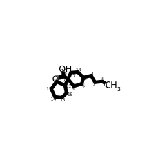 CCCCC1CCC(C(=O)O)(C2CCCCC2)CC1